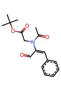 CC(=O)N(CC(=O)OC(C)(C)C)C([C]=O)=Cc1ccccc1